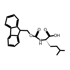 CC(C)CC[C@H](NC(=O)OCC1c2ccccc2-c2ccccc21)C(=O)O